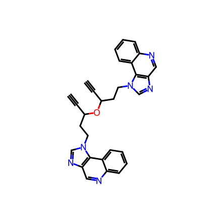 C#CC(CCn1cnc2cnc3ccccc3c21)OC(C#C)CCn1cnc2cnc3ccccc3c21